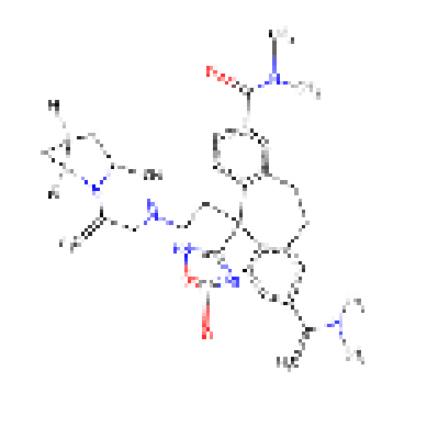 C=C(c1ccc2c(c1)CCc1cc(C(=O)N(C)C)ccc1C2(CCNCC(=C)N1C(C#N)C[C@@H]2C[C@@H]21)c1nc(=O)o[nH]1)N(C)C